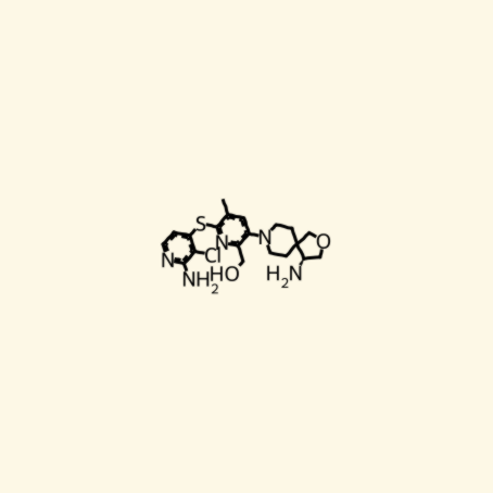 Cc1cc(N2CCC3(CC2)COC[C@H]3N)c(CO)nc1Sc1ccnc(N)c1Cl